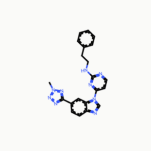 Cn1nnc(-c2ccc3ncn(-c4ccnc(NCCc5ccccc5)n4)c3c2)n1